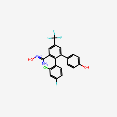 N/C(=N\O)c1cc(C(F)(F)F)cc(-c2ccc(O)cc2)c1-c1ccc(F)cc1Cl